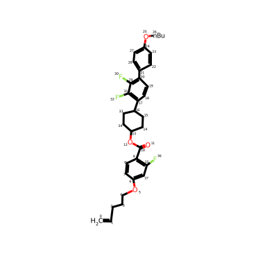 C=CCCCOc1ccc(C(=O)OC2CCC(c3ccc(-c4ccc(OCCCC)cc4)c(F)c3F)CC2)c(F)c1